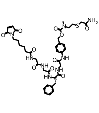 CN(CCSCC(N)=O)C(=O)OCc1ccc(NC(=O)CNC(=O)[C@H](Cc2ccccc2)NC(=O)CNC(=O)CNC(=O)CCCCCN2C(=O)C=CC2=O)cc1